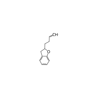 [CH]=CCCC1Cc2ccccc2O1